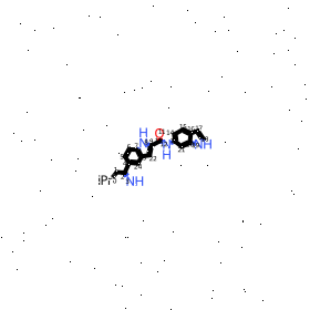 CC(C)CC(=N)c1ccc2[nH]c(C(=O)Nc3ccc4cc[nH]c4c3)cc2c1